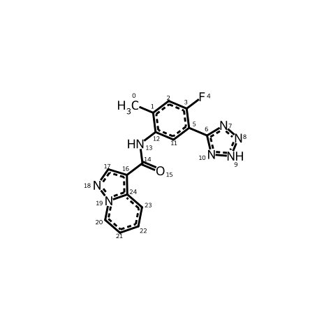 Cc1cc(F)c(-c2nn[nH]n2)cc1NC(=O)c1cnn2ccccc12